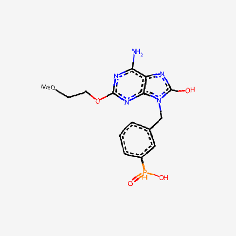 COCCOc1nc(N)c2nc(O)n(Cc3cccc([PH](=O)O)c3)c2n1